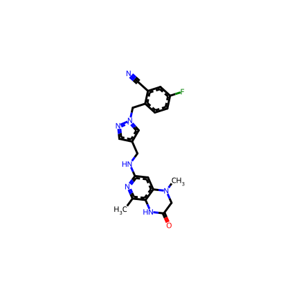 Cc1nc(NCc2cnn(Cc3ccc(F)cc3C#N)c2)cc2c1NC(=O)CN2C